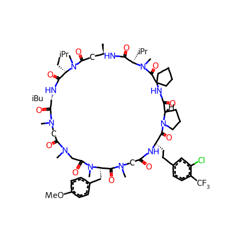 CC[C@H](C)[C@@H]1NC(=O)[C@H](CC(C)C)N(C)C(=O)C[C@@H](C)NC(=O)[C@H](C(C)C)N(C)C(=O)C2(CCCC2)NC(=O)[C@@H]2CCCN2C(=O)[C@H](CCc2ccc(C(F)(F)F)c(Cl)c2)NC(=O)CN(C)C(=O)[C@H](Cc2ccc(OC)cc2)N(C)C(=O)CN(C)C(=O)CN(C)C1=O